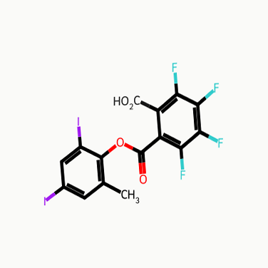 Cc1cc(I)cc(I)c1OC(=O)c1c(F)c(F)c(F)c(F)c1C(=O)O